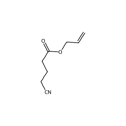 C=CCOC(=O)CCCC#N